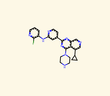 Fc1ncccc1Nc1cc(-c2nc(N3CCNCC3)c3c(C4CC4)cncc3n2)ccn1